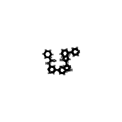 O=C(Nc1cncc(-c2ccc3[nH]nc(-c4cc5c(-c6ccncc6)cccc5[nH]4)c3n2)c1)C1CCCCC1